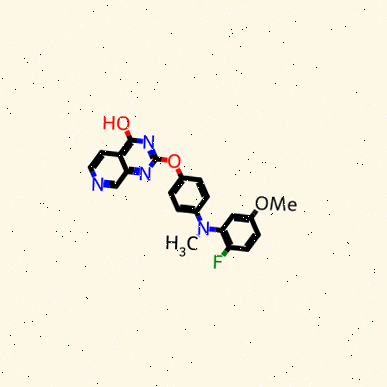 COc1ccc(F)c(N(C)c2ccc(Oc3nc(O)c4ccncc4n3)cc2)c1